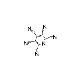 N#Cc1nc(C#N)c(C#N)c(C#N)c1C#N